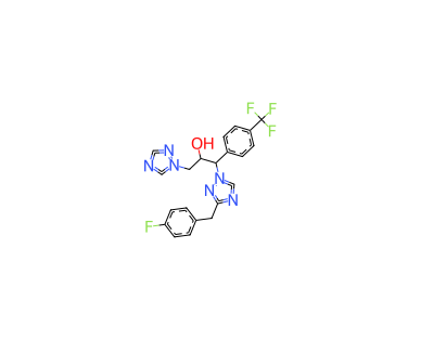 OC(Cn1cncn1)C(c1ccc(C(F)(F)F)cc1)n1cnc(Cc2ccc(F)cc2)n1